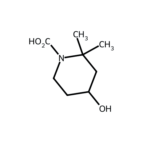 CC1(C)CC(O)CCN1C(=O)O